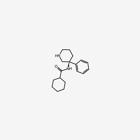 O=C(N[C@]1(c2ccccc2)CCCNC1)C1CCCCC1